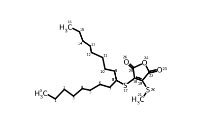 CCCCCCCCC(CCCCCCCC)SC1=C(SC)C(=O)OC1=O